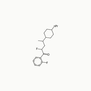 CCCC1CCC(C(C)CC(F)C(=O)c2ccccc2F)CC1